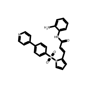 Nc1ccccc1NC(=O)/C=C/c1cccn1S(=O)(=O)c1ccc(-c2ccncc2)cc1